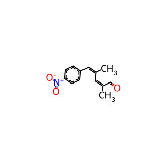 CC(C=O)=CC(C)=Cc1ccc([N+](=O)[O-])cc1